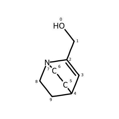 OCC1=CC2CCN1CC2